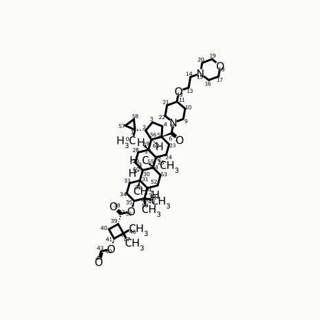 CC1([C@@H]2CC[C@]3(C(=O)N4CCC(OCCN5CCOCC5)CC4)CC[C@]4(C)[C@H](CC[C@@H]5[C@@]6(C)CC[C@H](OC(=O)[C@H]7C[C@@H](OC=O)C7(C)C)C(C)(C)[C@@H]6CC[C@]54C)[C@@H]23)CC1